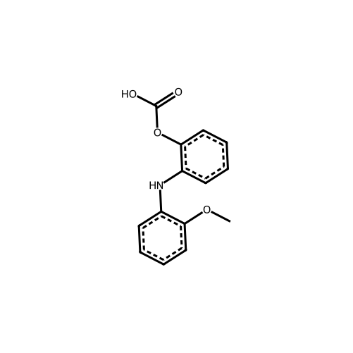 COc1ccccc1Nc1ccccc1OC(=O)O